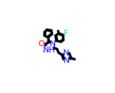 CNC(=O)[C@@H](c1ccccc1)N(CCCc1cnc(C)cn1)c1ccc(F)c(C)c1